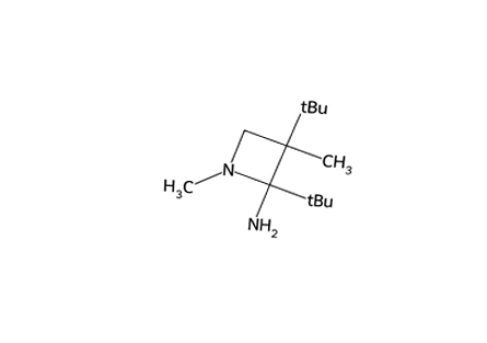 CN1CC(C)(C(C)(C)C)C1(N)C(C)(C)C